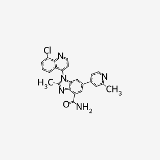 Cc1cc(-c2cc(C(N)=O)c3nc(C)n(-c4ccnc5c(Cl)cccc45)c3c2)ccn1